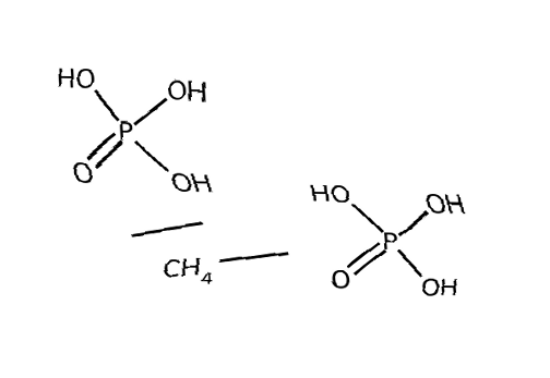 C.CC.CC.O=P(O)(O)O.O=P(O)(O)O